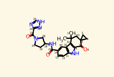 CC1(C)CC2(CC2)C(=O)c2[nH]c3ccc(C(=O)NC4CCN(C(=O)c5nc[nH]n5)C4)cc3c21